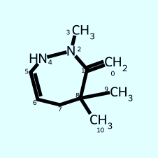 C=C1N(C)NC=CCC1(C)C